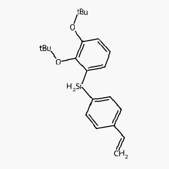 C=Cc1ccc([SiH2]c2cccc(OC(C)(C)C)c2OC(C)(C)C)cc1